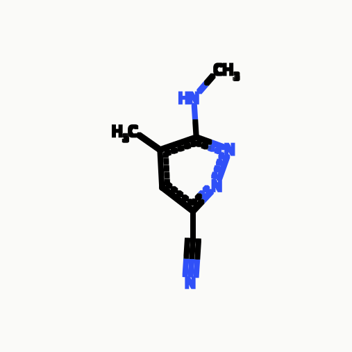 CNc1nnc(C#N)cc1C